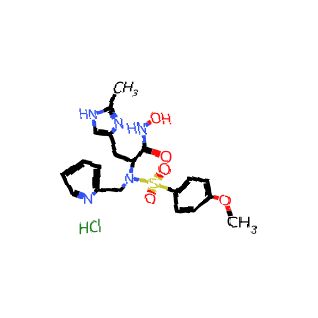 COc1ccc(S(=O)(=O)N(Cc2ccccn2)C(Cc2c[nH]c(C)n2)C(=O)NO)cc1.Cl